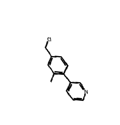 Cc1cc(CCl)ccc1-c1cccnc1